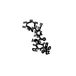 CCS(=O)(=O)Nc1cc(Cl)cc(NC(=O)c2cc(-c3ccccn3)c(C)s2)c1